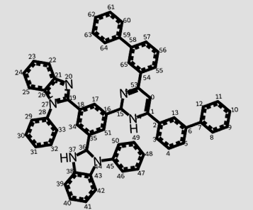 C1=C(c2cccc(-c3ccccc3)c2)NC(c2cc(-c3nc4ccccc4n3-c3ccccc3)cc(C3Nc4ccccc4N3c3ccccc3)c2)N=C1c1cccc(-c2ccccc2)c1